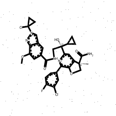 COc1cc(C(=O)NC[C@](O)(c2cc3c(c(-c4ccc(F)c(Cl)c4)n2)OC[C@]3(C)C(N)=O)C2CC2)cc2cn(C3(Cl)CC3)nc12